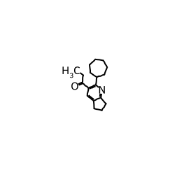 CCC(=O)c1cc2c(nc1C1CCCCCC1)CCC2